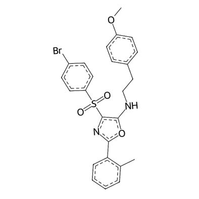 COc1ccc(CCNc2oc(-c3ccccc3C)nc2S(=O)(=O)c2ccc(Br)cc2)cc1